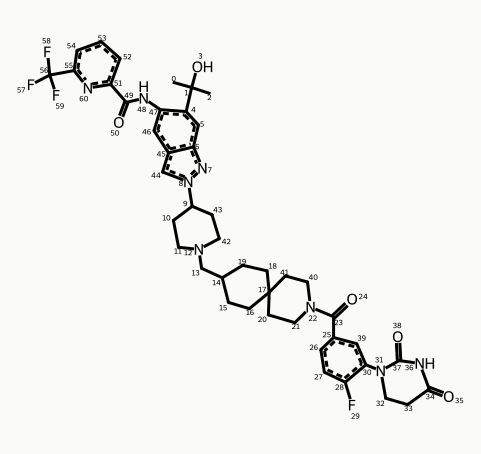 CC(C)(O)c1cc2nn(C3CCN(CC4CCC5(CC4)CCN(C(=O)c4ccc(F)c(N6CCC(=O)NC6=O)c4)CC5)CC3)cc2cc1NC(=O)c1cccc(C(F)(F)F)n1